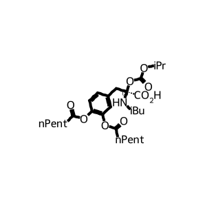 CCCCCC(=O)Oc1ccc(C[C@](NC(C)CC)(OC(=O)OC(C)C)C(=O)O)cc1OC(=O)CCCCC